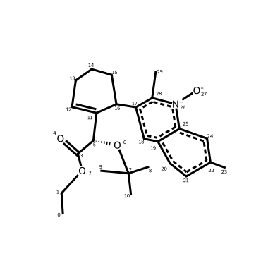 CCOC(=O)[C@@H](OC(C)(C)C)C1=CCCCC1c1cc2ccc(C)cc2[n+]([O-])c1C